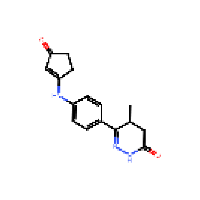 CC1CC(=O)NN=C1c1ccc(NC2=CC(=O)CC2)cc1